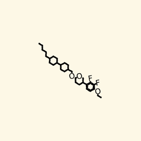 CCCCCC1CCC(C2CCC(COC3CCC(c4ccc(OCC)c(F)c4F)CO3)CC2)CC1